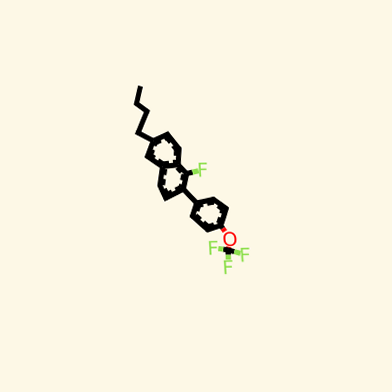 CCCCc1ccc2c(F)c(-c3ccc(OC(F)(F)F)cc3)ccc2c1